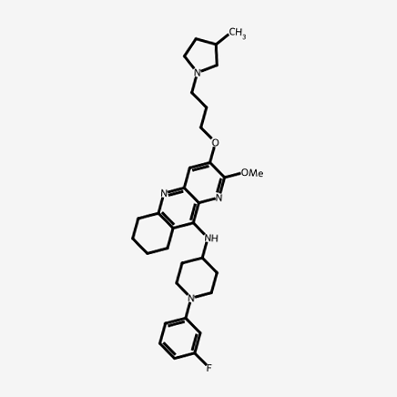 COc1nc2c(NC3CCN(c4cccc(F)c4)CC3)c3c(nc2cc1OCCCN1CCC(C)C1)CCCC3